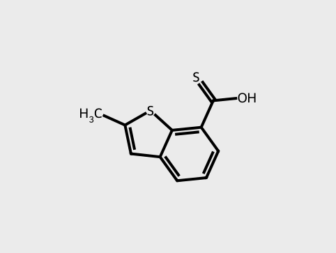 Cc1cc2cccc(C(O)=S)c2s1